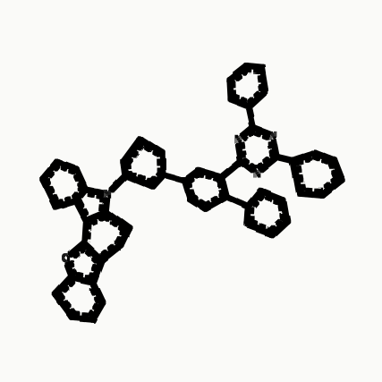 c1ccc(-c2nc(-c3ccccc3)nc(-c3cc(-c4cccc(-n5c6ccccc6c6c7oc8ccccc8c7ccc65)c4)ccc3-c3ccccc3)n2)cc1